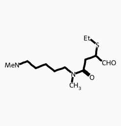 CCSC(C=O)CC(=O)N(C)CCCCCNC